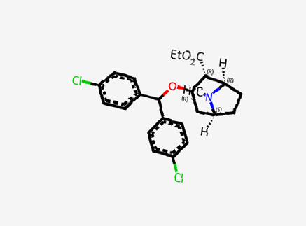 CCOC(=O)[C@@H]1[C@H]2CC[C@@H](C[C@H]1OC(c1ccc(Cl)cc1)c1ccc(Cl)cc1)N2C